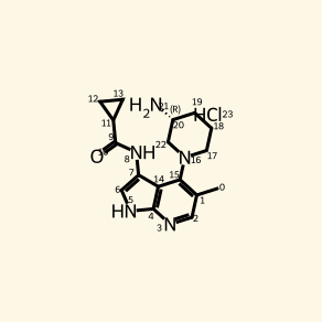 Cc1cnc2[nH]cc(NC(=O)C3CC3)c2c1N1CCC[C@@H](N)C1.Cl